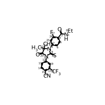 CCNC(=O)c1ccc(N2C(=S)N(c3ccc(C#N)c(C(F)(F)F)c3)C(=O)C2(C)C)cc1F